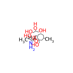 CC1CCCC(C)C(CO)(OC(=O)[C@@H](N)[C@@H](C)O)C1.OCC(O)CO